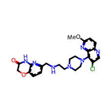 COc1ccc2ncc(Cl)c(N3CCN(CCNCc4ccc5c(n4)NC(=O)CO5)CC3)c2n1